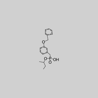 CCC(C)OP(=O)(O)Cc1cccc(OCc2ccccc2)c1